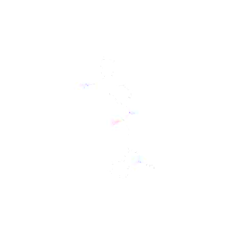 Cn1cc(CCC(=O)Nc2ccc(-c3ccccc3CN)cc2)c2ccccc21